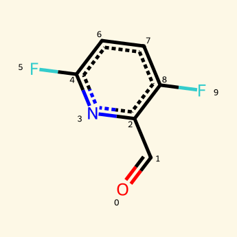 O=Cc1nc(F)ccc1F